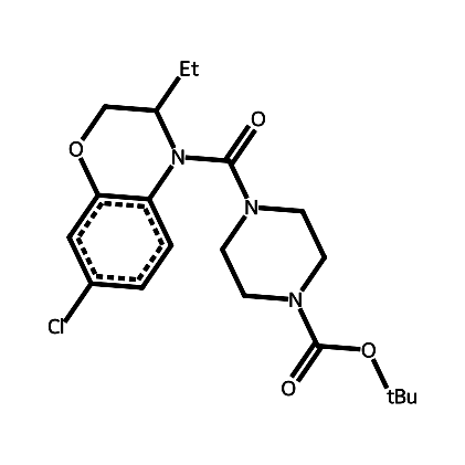 CCC1COc2cc(Cl)ccc2N1C(=O)N1CCN(C(=O)OC(C)(C)C)CC1